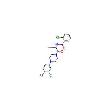 CC(C)(C)C(NC(=O)c1ccccc1Cl)C(=O)N1CCN(c2ccc(Cl)c(Cl)c2)CC1